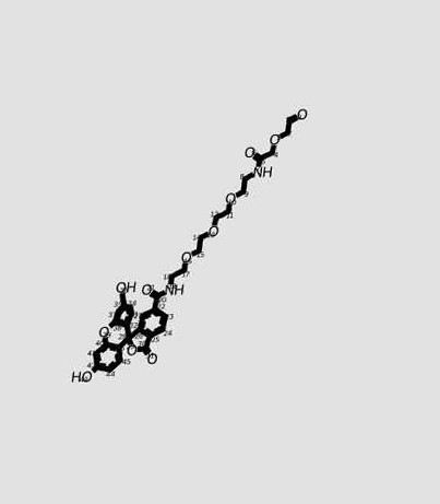 O=CCOCC(=O)NCCOCCOCCOCCNC(=O)c1ccc2c(c1)C1(OC2=O)c2ccc(O)cc2Oc2cc(O)ccc21